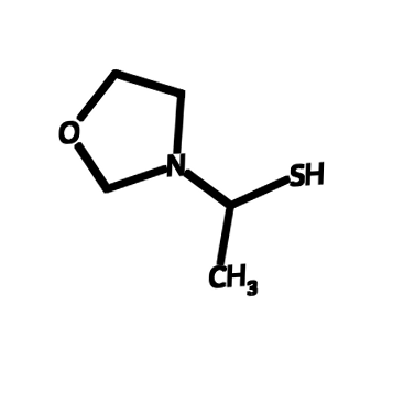 CC(S)N1CCOC1